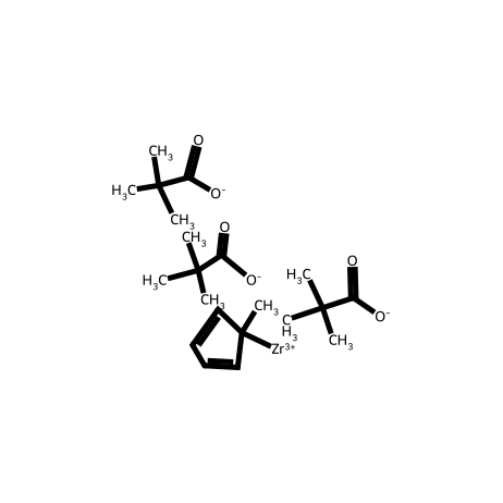 CC(C)(C)C(=O)[O-].CC(C)(C)C(=O)[O-].CC(C)(C)C(=O)[O-].C[C]1([Zr+3])C=CC=C1